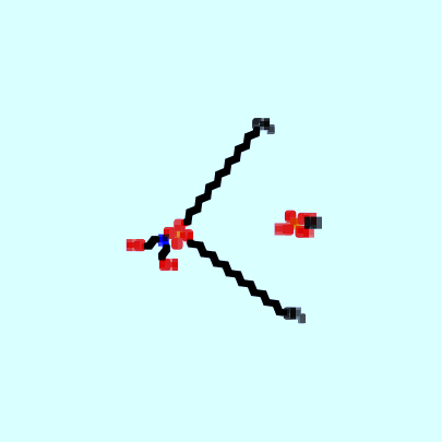 CCCCCCCCCCCCCCCCOP(=O)(OCCCCCCCCCCCCCCCC)ON(CCO)CCO.O=P(O)(O)O.[KH]